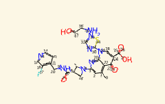 Cc1cc(N2CC(C(=O)NCc3ccncc3F)C2)nc2c1c(=O)c(C(=O)O)cn2-c1ncns1.NCCO